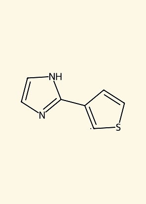 [c]1sccc1-c1ncc[nH]1